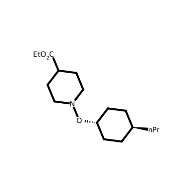 CCC[C@H]1CC[C@H](ON2CCC(C(=O)OCC)CC2)CC1